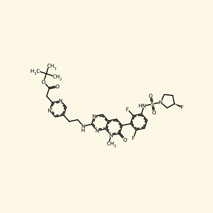 Cn1c(=O)c(-c2c(F)ccc(NS(=O)(=O)N3CC[C@@H](F)C3)c2F)cc2cnc(NCCc3cnc(CC(=O)OC(C)(C)C)nc3)nc21